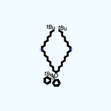 CC(C)(C)CCCCCCC/C=C\CCCCCCCCC(CCCCCCCC/C=C\CCCCCCCC(C)(C)C)O[Si](c1ccccc1)(c1ccccc1)C(C)(C)C